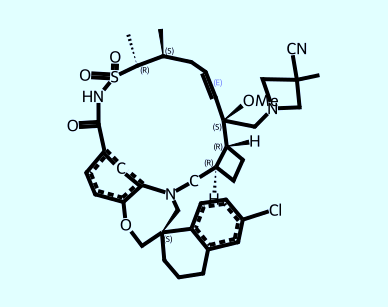 CO[C@]1(CN2CC(C)(C#N)C2)/C=C/C[C@H](C)[C@@H](C)S(=O)(=O)NC(=O)c2ccc3c(c2)N(C[C@@H]2CC[C@H]21)C[C@@]1(CCCc2cc(Cl)ccc21)CO3